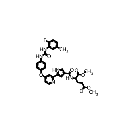 COC(=O)CCC(NC(=O)c1c[nH]c(-c2cc(Oc3ccc(NC(=O)Nc4cc(C)ccc4F)cc3)ccn2)c1)C(=O)OC